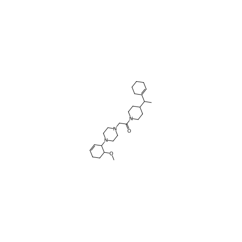 COC1CCC=CC1N1CCN(CC(=O)N2CCC(C(C)C3=CCCCC3)CC2)CC1